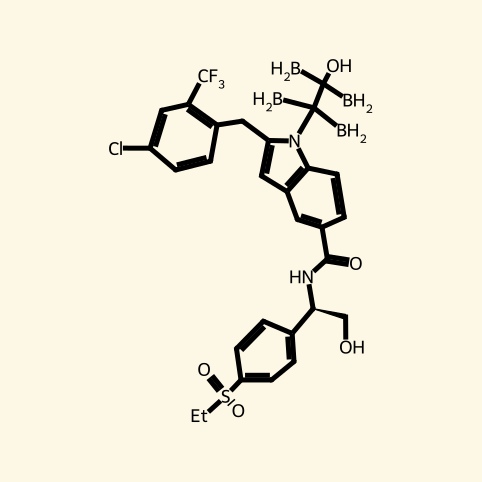 BC(B)(O)C(B)(B)n1c(Cc2ccc(Cl)cc2C(F)(F)F)cc2cc(C(=O)N[C@@H](CO)c3ccc(S(=O)(=O)CC)cc3)ccc21